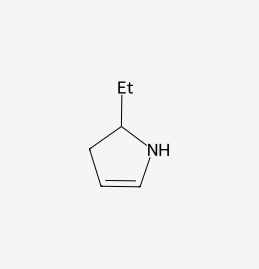 CCC1CC=CN1